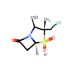 C[C@]1(CCl)C(C(=O)[O-])N2C(=O)C[C@@H]2S1(=O)=O.[K+]